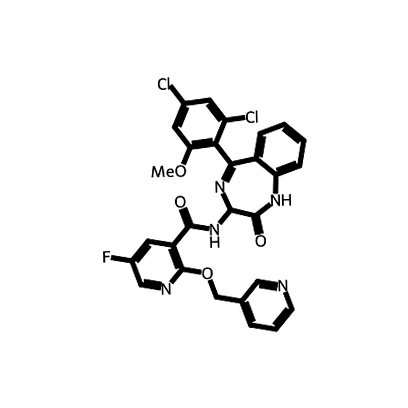 COc1cc(Cl)cc(Cl)c1C1=NC(NC(=O)c2cc(F)cnc2OCc2cccnc2)C(=O)Nc2ccccc21